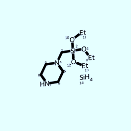 CCO[Si](CN1CCNCC1)(OCC)OCC.[SiH4]